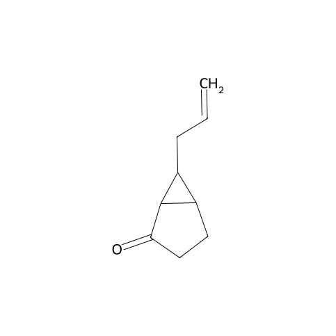 C=CCC1C2CCC(=O)C12